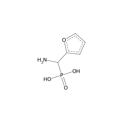 NC(c1ccco1)P(=O)(O)O